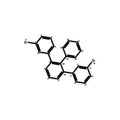 Brc1cccc(-c2cccc(-c3cccc(Br)c3)c2-c2ccccc2)c1